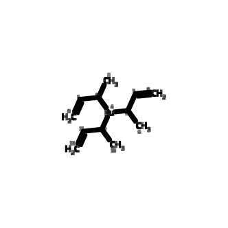 C=C[CH](C)[Ru]([CH](C)C=C)[CH](C)C=C